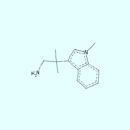 Cn1cc(C(C)(C)CN)c2ccccc21